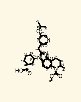 COC(=O)N1c2ccc3c(nc(Cc4cncc(OC(C)C)n4)n3[C@@H]3CCC[C@@H](C(=O)O)C3)c2CCC1C